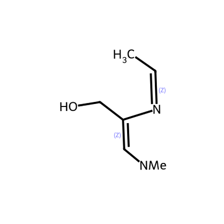 C/C=N\C(=C/NC)CO